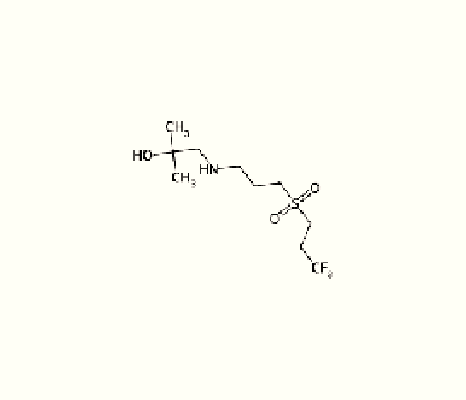 CC(C)(O)CNCCCS(=O)(=O)CCC(F)(F)F